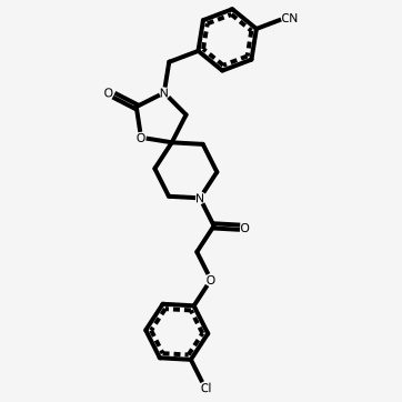 N#Cc1ccc(CN2CC3(CCN(C(=O)COc4cccc(Cl)c4)CC3)OC2=O)cc1